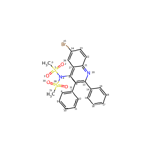 CS(=O)(=O)N(c1c(-c2ccccc2)c(-c2ccccc2)nc2ccc(Br)cc12)S(C)(=O)=O